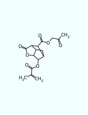 C=C(C)C(=O)OC1C2CC3C1OC(=O)C3C2C(=O)OCC(C)=O